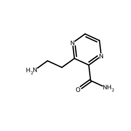 NCCc1nccnc1C(N)=O